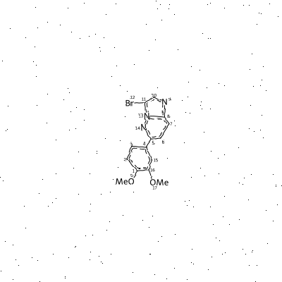 COc1ccc(-c2ccc3ncc(Br)n3n2)cc1OC